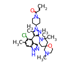 C=CC(=O)N1CCC(n2nc(N3CCC4(CN(C)CCO4)CC3(C)C)c(-c3c(Cl)c(C)cc4[nH]ncc34)c2C)CC1